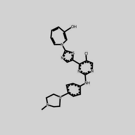 CN1CCN(c2ccc(Nc3ncc(Cl)c(-c4cnc(N5C=CC=CC(O)=C5)s4)n3)cc2)CC1